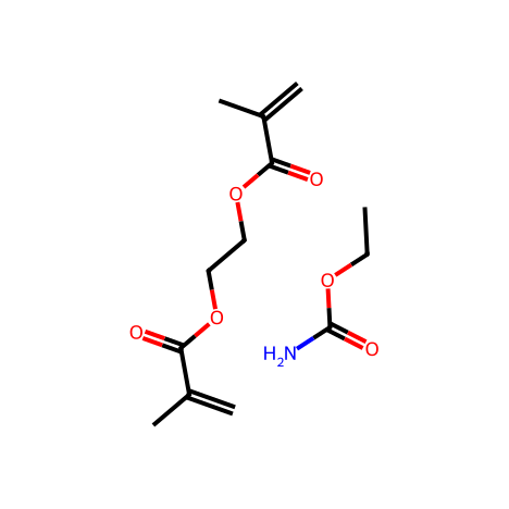 C=C(C)C(=O)OCCOC(=O)C(=C)C.CCOC(N)=O